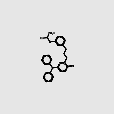 CCC(Oc1cccc(CCCn2nc(C(c3ccccc3)c3ccccc3)ccc2=O)c1)C(=O)O